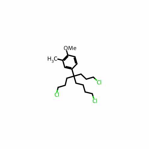 COc1ccc(C(CCCCl)(CCCCl)CCCCCl)cc1C